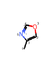 CC1=CO[C]=[N+]1